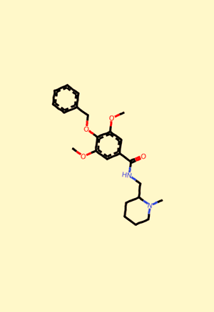 COc1cc(C(=O)NCC2CCCCN2C)cc(OC)c1OCc1ccccc1